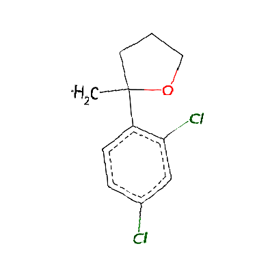 [CH2]C1(c2ccc(Cl)cc2Cl)CCCO1